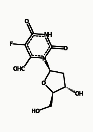 O=Cc1c(F)c(=O)[nH]c(=O)n1[C@H]1C[C@H](O)[C@@H](CO)O1